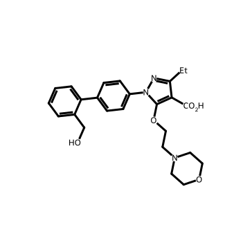 CCc1nn(-c2ccc(-c3ccccc3CO)cc2)c(OCCN2CCOCC2)c1C(=O)O